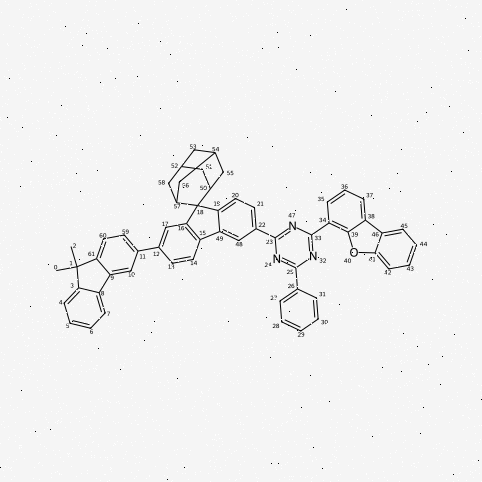 CC1(C)c2ccccc2-c2cc(-c3ccc4c(c3)C3(c5ccc(-c6nc(-c7ccccc7)nc(-c7cccc8c7oc7ccccc78)n6)cc5-4)C4CC5CC(C4)CC3C5)ccc21